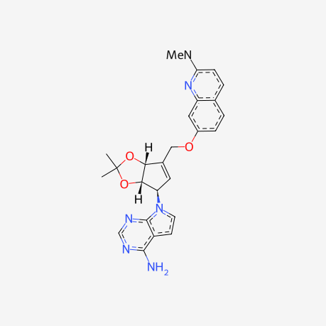 CNc1ccc2ccc(OCC3=C[C@@H](n4ccc5c(N)ncnc54)[C@@H]4OC(C)(C)O[C@H]34)cc2n1